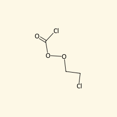 O=C(Cl)OOCCCl